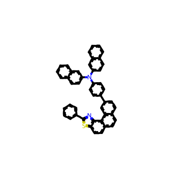 c1ccc(-c2nc3c(ccc4ccc5ccc(-c6ccc(N(c7ccc8ccccc8c7)c7ccc8ccccc8c7)cc6)cc5c43)s2)cc1